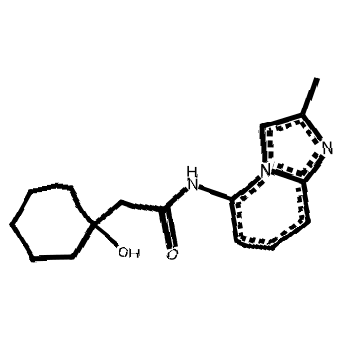 Cc1cn2c(NC(=O)CC3(O)CCCCC3)cccc2n1